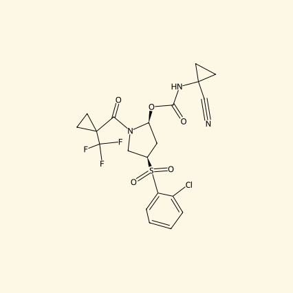 N#CC1(NC(=O)O[C@H]2C[C@@H](S(=O)(=O)c3ccccc3Cl)CN2C(=O)C2(C(F)(F)F)CC2)CC1